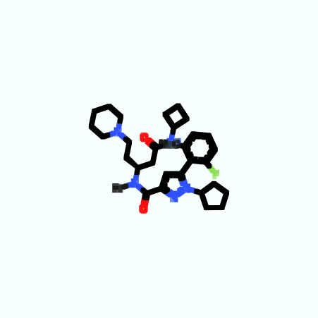 CCN(C(=O)c1cc(-c2c(F)cccc2OC)n(C2CCCC2)n1)[C@@H](CCN1CCCCC1)CC(=O)NC1CCC1